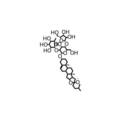 CC1CCC2(OC1)OC1CC3C4CC=C5C[C@@H](O[C@@H]6OC(CO)[C@@H](O[C@@H]7O[C@@H](CO)[C@@H](O)C7O)[C@H](O)C6O[C@@H]6OC(C)[C@H](O)[C@H](O)C6O)CC[C@]5(C)C4CC[C@]3(C)C1[C@@H]2C